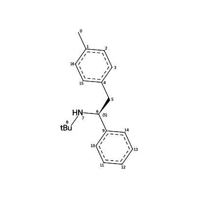 Cc1ccc(C[C@H](NC(C)(C)C)c2ccccc2)cc1